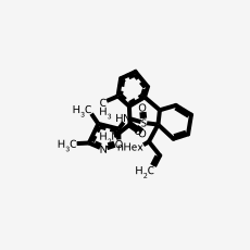 C=CC(CCCCCC)C1(S(=O)(=O)Nc2onc(C)c2C)C=CC=CC1c1cccc(C)c1C(N)=O